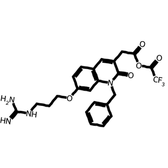 N=C(N)NCCCOc1ccc2cc(CC(=O)OC(=O)C(F)(F)F)c(=O)n(Cc3ccccc3)c2c1